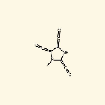 CN1C(=C=O)NC(=C=O)C1=C=O